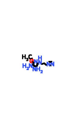 CCOc1nc(NCCCn2ccnc2)cc(N)c1N